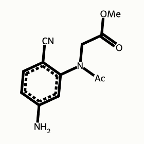 COC(=O)CN(C(C)=O)c1cc(N)ccc1C#N